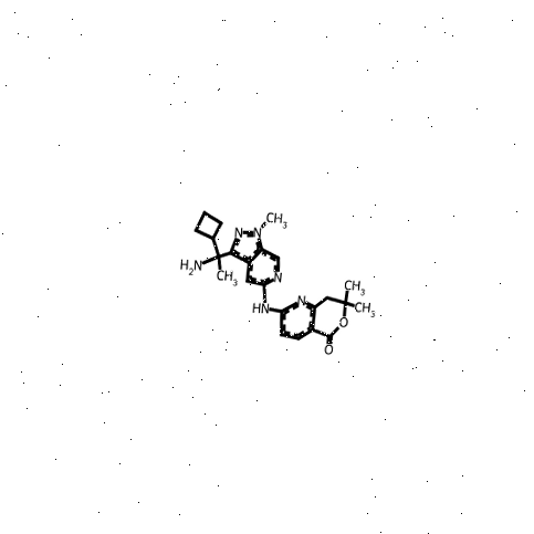 Cn1nc(C(C)(N)C2CCC2)c2cc(Nc3ccc4c(n3)CC(C)(C)OC4=O)ncc21